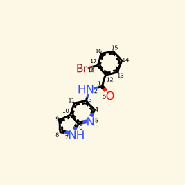 O=C(Nc1cnc2[nH]ccc2c1)c1ccccc1Br